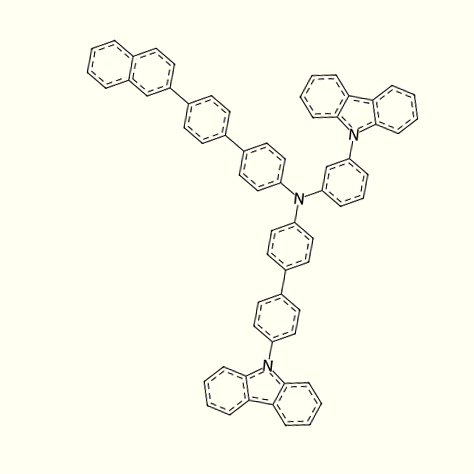 c1cc(N(c2ccc(-c3ccc(-c4ccc5ccccc5c4)cc3)cc2)c2ccc(-c3ccc(-n4c5ccccc5c5ccccc54)cc3)cc2)cc(-n2c3ccccc3c3ccccc32)c1